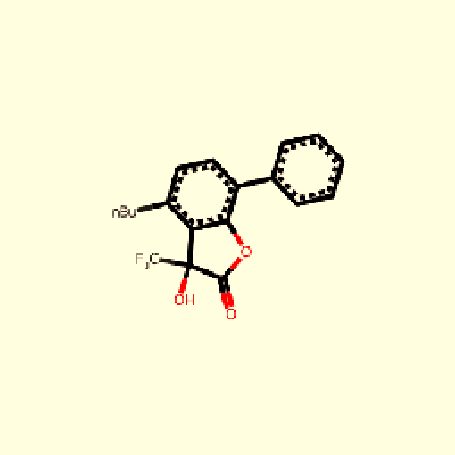 CCCCc1ccc(-c2ccccc2)c2c1C(O)(C(F)(F)F)C(=O)O2